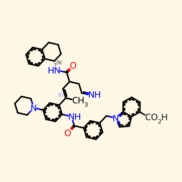 C/C(=C\C(CC=N)C(=O)N[C@H]1CCCc2ccccc21)c1cc(N2CCCCC2)ccc1NC(=O)c1cccc(Cn2ccc3c(C(=O)O)cccc32)c1